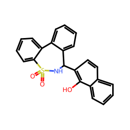 O=S1(=O)NC(c2ccc3ccccc3c2O)c2ccccc2-c2ccccc21